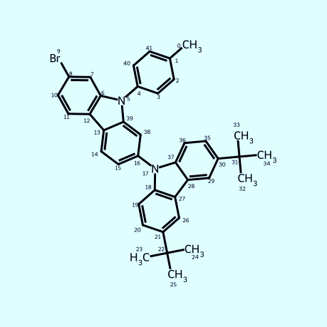 Cc1ccc(-n2c3cc(Br)ccc3c3ccc(-n4c5ccc(C(C)(C)C)cc5c5cc(C(C)(C)C)ccc54)cc32)cc1